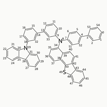 c1ccc(-c2ccc(N(c3cccc(-c4cccc(-n5c6ccccc6c6ccccc65)c4)c3)c3cccc4c3ccc3c5ccccc5sc43)cc2)cc1